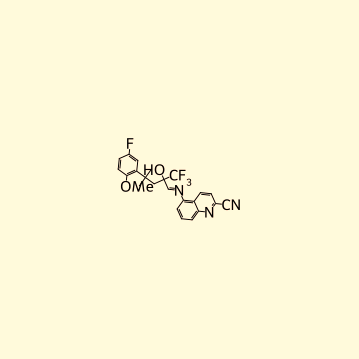 COc1ccc(F)cc1C(C)(C)CC(O)(C=Nc1cccc2nc(C#N)ccc12)C(F)(F)F